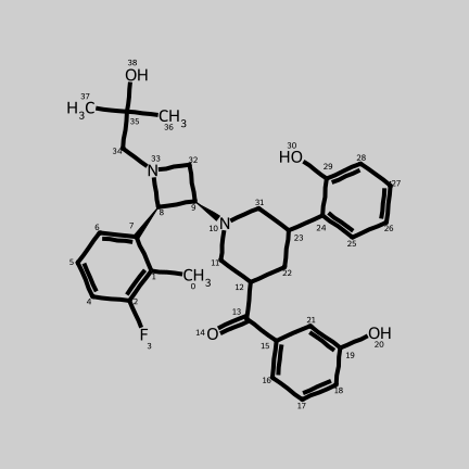 Cc1c(F)cccc1[C@@H]1[C@H](N2CC(C(=O)c3cccc(O)c3)CC(c3cc[c]cc3O)C2)CN1CC(C)(C)O